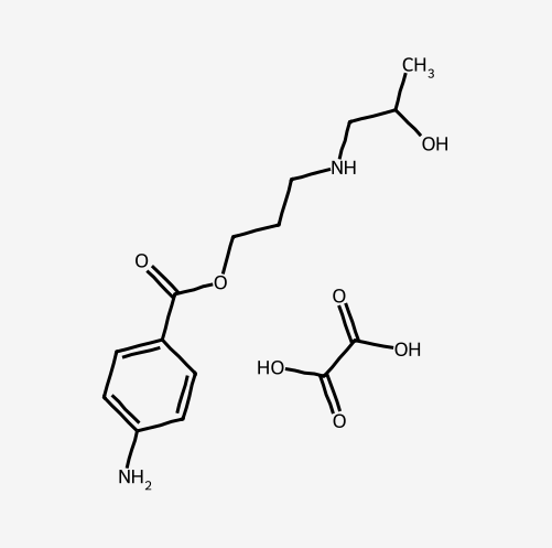 CC(O)CNCCCOC(=O)c1ccc(N)cc1.O=C(O)C(=O)O